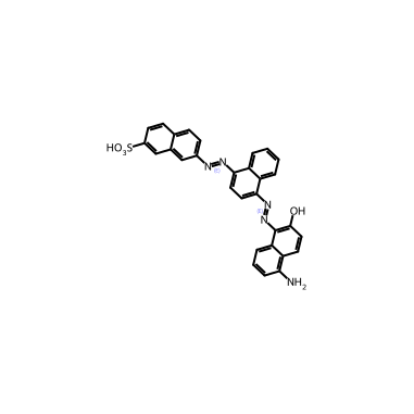 Nc1cccc2c(/N=N/c3ccc(/N=N/c4ccc5ccc(S(=O)(=O)O)cc5c4)c4ccccc34)c(O)ccc12